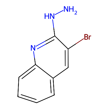 NNc1nc2ccccc2cc1Br